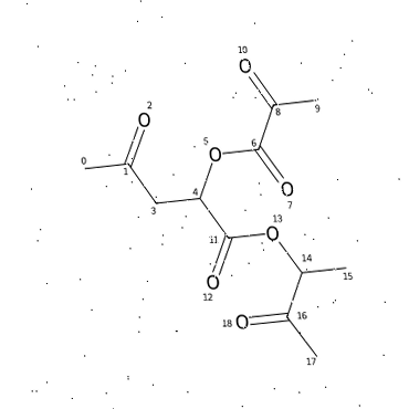 CC(=O)CC(OC(=O)C(C)=O)C(=O)OC(C)C(C)=O